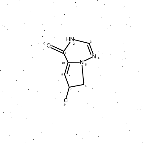 O=C1NC=NN2CC(Cl)C=C12